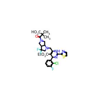 CCOC(=O)C1=C(CN2CC(F)(F)C3CN(C(=O)C(C)(C)C(=O)O)CC32)NC(c2nccs2)=NC1c1cccc(F)c1Cl